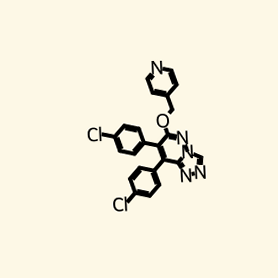 Clc1ccc(-c2c(OCc3ccncc3)nn3cnnc3c2-c2ccc(Cl)cc2)cc1